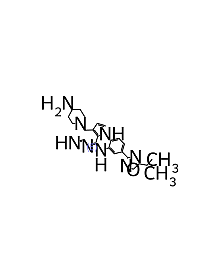 CC(C)c1nc(-c2cccc(N/C(=N/C=N)c3[nH]ccc3CN3CCC(N)CC3)c2)no1